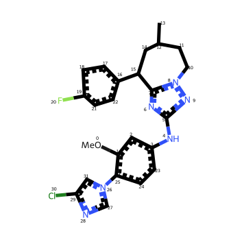 COc1cc(Nc2nc3n(n2)CCC(C)CC3c2ccc(F)cc2)ccc1-n1cnc(Cl)c1